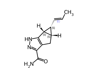 C/C=C/[C@@H]1[C@@H]2Cc3c(C(N)=O)n[nH]c3[C@H]12